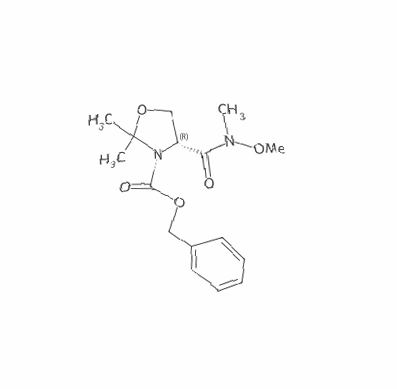 CON(C)C(=O)[C@H]1COC(C)(C)N1C(=O)OCc1ccccc1